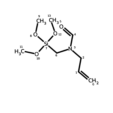 C=CCN(C=O)C[Si](OC)(OC)OC